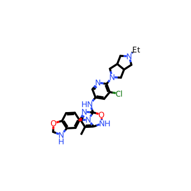 CCN1CC2CN(c3ncc(NC45N=CC(C)=C(NO4)N5c4ccc5c(c4)NCO5)cc3Cl)CC2C1